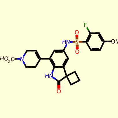 COc1ccc(S(=O)(=O)Nc2cc(C3=CCN(C(=O)O)CC3)c3c(c2)C2(CCC2)C(=O)N3)c(F)c1